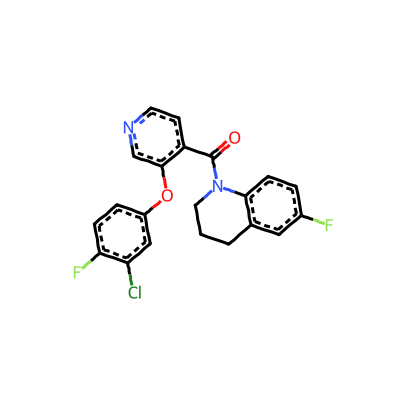 O=C(c1ccncc1Oc1ccc(F)c(Cl)c1)N1CCCc2cc(F)ccc21